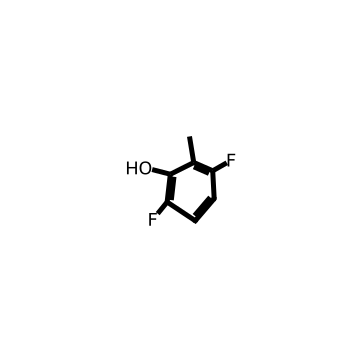 Cc1c(F)ccc(F)c1O